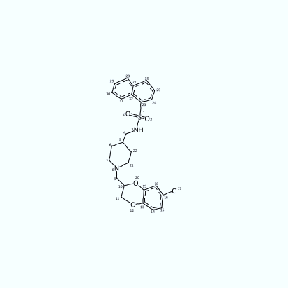 O=S(=O)(NCC1CCN(CC2COc3ccc(Cl)cc3O2)CC1)c1cccc2ccccc12